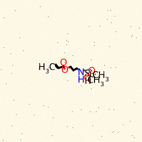 CC=CC(=O)OCCCNC[SiH](OC)OC